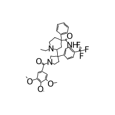 CCN1CCC(C(N)=O)(c2ccccc2)CC1C1(c2ccc(C(F)(F)F)cc2)CCN(C(=O)c2cc(OC)c(OC)c(OC)c2)C1